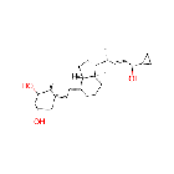 C=C1C(=CC=C2CCC[C@]3(C)[C@@H]([C@H](C)C=CC(O)C4CC4)CC[C@@H]23)CC(O)CC1O